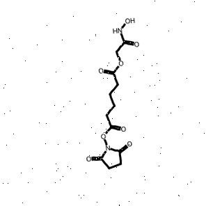 O=C(COC(=O)CCCCC(=O)ON1C(=O)CCC1=O)NO